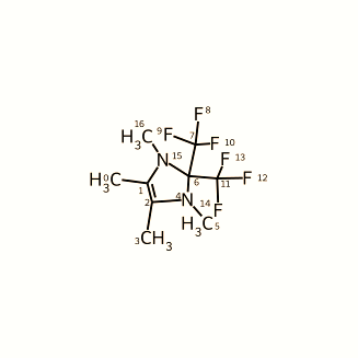 CC1=C(C)N(C)C(C(F)(F)F)(C(F)(F)F)N1C